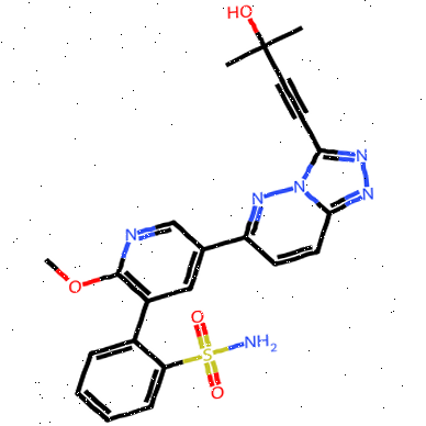 COc1ncc(-c2ccc3nnc(C#CC(C)(C)O)n3n2)cc1-c1ccccc1S(N)(=O)=O